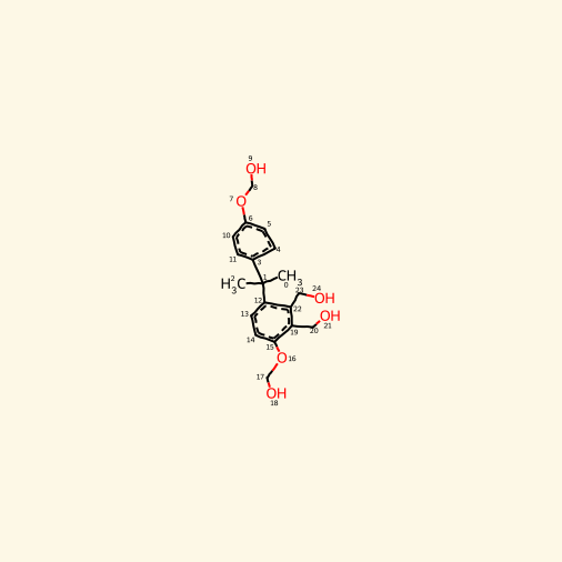 CC(C)(c1ccc(OCO)cc1)c1ccc(OCO)c(CO)c1CO